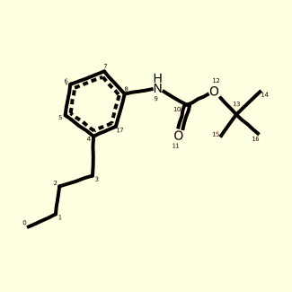 CCCCc1c[c]cc(NC(=O)OC(C)(C)C)c1